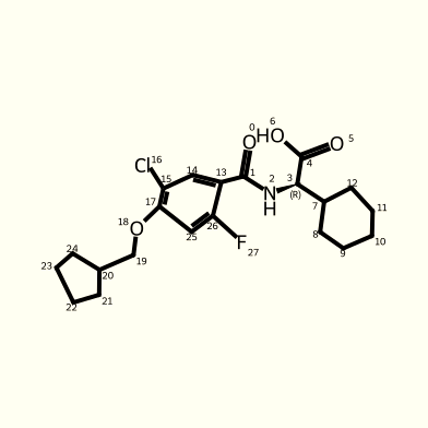 O=C(N[C@@H](C(=O)O)C1CCCCC1)c1cc(Cl)c(OCC2CCCC2)cc1F